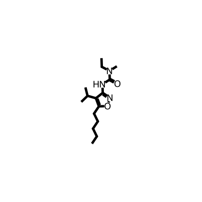 CCCCCc1onc(NC(=O)N(C)CC)c1C(C)C